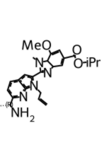 C=CCn1c(C2=NC3C=C(C(=O)OC(C)C)C=C(OC)C3N2C)cc2ccc([C@@H](C)N)nc21